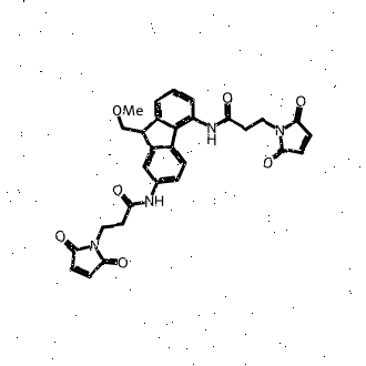 COCC1c2cc(NC(=O)CCN3C(=O)C=CC3=O)ccc2-c2c(NC(=O)CCN3C(=O)C=CC3=O)cccc21